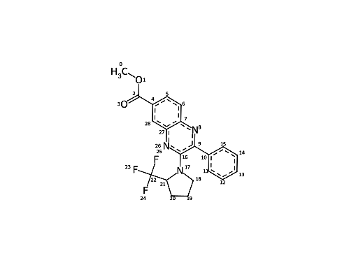 COC(=O)c1ccc2nc(-c3ccccc3)c(N3CCCC3C(F)(F)F)nc2c1